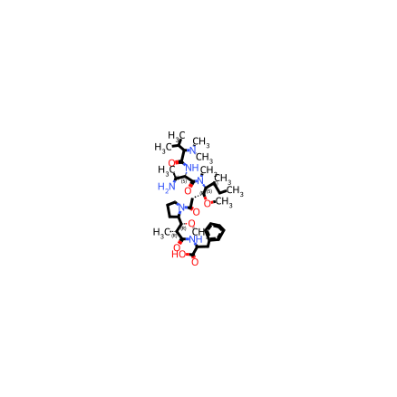 CC[C@H](C)[C@@H]([C@@H](CC(=O)N1CCCC1[C@H](OC)[C@@H](C)C(=O)NC(Cc1ccccc1)C(=O)O)OC)N(C)C(=O)[C@@H](NC(=O)C(C(C)C)N(C)C)[C@H](C)N